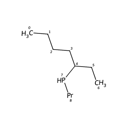 CCCCC(CC)[PH][Pr]